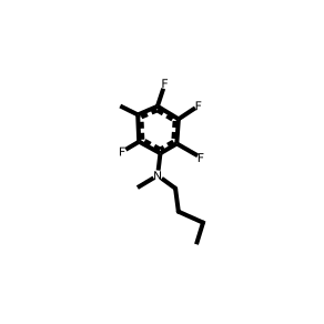 CCCCN(C)c1c(F)c(C)c(F)c(F)c1F